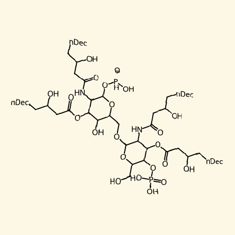 CCCCCCCCCCCC(O)CC(=O)NC1C(O[PH](=O)O)OC(COC2OC(CO)C(OP(=O)(O)O)C(OC(=O)CC(O)CCCCCCCCCCC)C2NC(=O)CC(O)CCCCCCCCCCC)C(O)C1OC(=O)CC(O)CCCCCCCCCCC